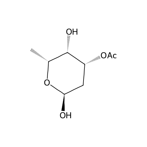 CC(=O)O[C@@H]1C[C@@H](O)O[C@H](C)[C@@H]1O